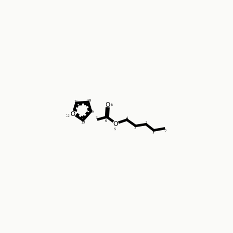 CCCCCOC(C)=O.c1ccoc1